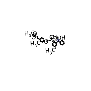 CCc1ccc(OC(C)CCOc2ccc(CCC(=O)OC)c(C)c2)c(/C(=N/O)c2ccccc2)c1